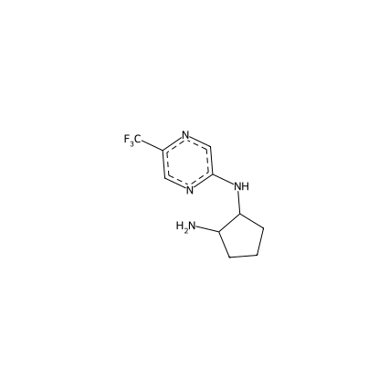 NC1CCCC1Nc1cnc(C(F)(F)F)cn1